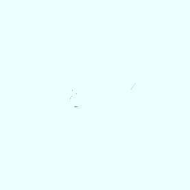 C=C(C)C(F)(F)CCCCC/C=C\C(=N)C(C)C